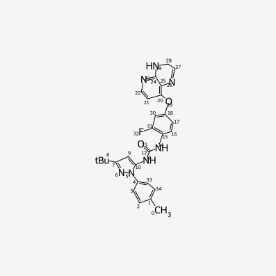 Cc1ccc(-n2nc(C(C)(C)C)cc2NC(=O)Nc2ccc(Oc3ccnc4c3N=CCN4)cc2F)cc1